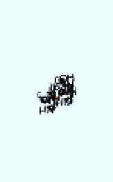 Fc1ccc(Cn2c(CC3CCNCC3)nc3cncnc32)cc1.Fc1ccc(Cn2c(CC3CCNCC3)nc3cncnc32)cc1.O=C(O)C(=O)O